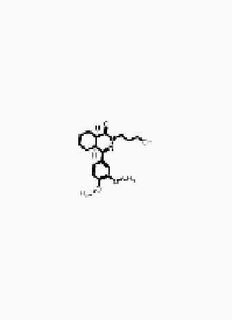 COc1ccc(C2=NN(CCCO)C(=O)[C@@H]3CCCC[C@H]23)cc1OC